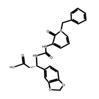 O=C(O)C[C@H](NC(=O)Nc1cccn(Cc2ccccc2)c1=O)c1ccc2c(c1)OCO2